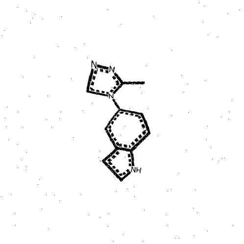 Cc1nncn1-c1ccc2[nH]c[c]c2c1